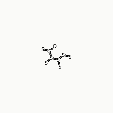 O=S(=S)=S(=S)=S(=S)=S=S